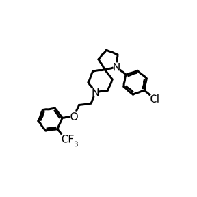 FC(F)(F)c1ccccc1OCCN1CCC2(CCCN2c2ccc(Cl)cc2)CC1